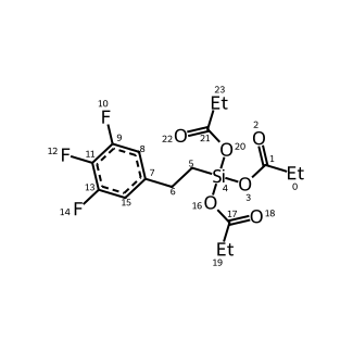 CCC(=O)O[Si](CCc1cc(F)c(F)c(F)c1)(OC(=O)CC)OC(=O)CC